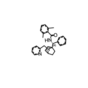 Cc1cccc(C)c1C(=O)N[C@H](c1ccccc1)C12CCC(CC1)N2Cc1ccccn1